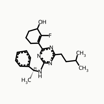 CC(C)CCc1nc(N[C@H](C)c2ccccc2)nc(C2=C(F)C(O)CCC2)n1